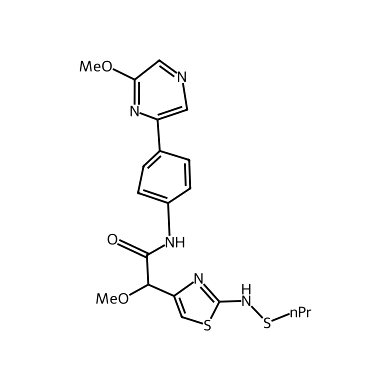 CCCSNc1nc(C(OC)C(=O)Nc2ccc(-c3cncc(OC)n3)cc2)cs1